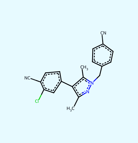 Cc1nn(Cc2ccc(C#N)cc2)c(C)c1-c1ccc(C#N)c(Cl)c1